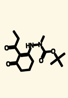 CCC(=O)C1=C(NN(C)C(=O)OC(C)(C)C)CCCC1=O